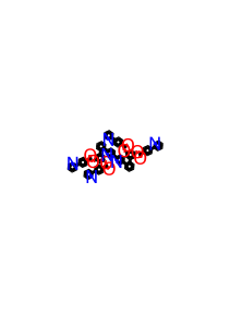 O=C(Oc1cc(OC(=O)c2ccc(-c3ccccn3)cc2)cc(-c2ccccc2-c2ccc(-c3ccc(-c4ccccc4-c4cc(OC(=O)c5ccc(-c6ccccn6)cc5)cc(OC(=O)c5ccc(-c6ccccn6)cc5)c4)nc3)nc2)c1)c1ccc(-c2ccccn2)cc1